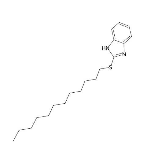 CCCCCCCCCCCCSc1nc2ccccc2[nH]1